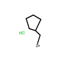 Cl.[Zn][CH2]C1CCCC1